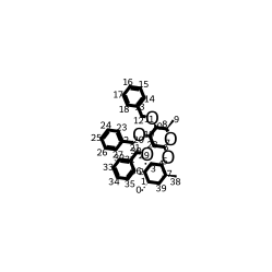 C[C@@H]1C[CH][C@@H](O[C@@H]2O[C@H](C)[C@H](OCc3ccccc3)[C@H](OCc3ccccc3)[C@H]2OCc2ccccc2)[C@@H](C)C1